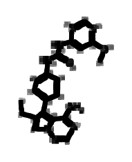 [CH2]Cc1cn2ncnc(N)c2c1-c1ccc(NC(=O)Nc2cc(OC)ncn2)cc1